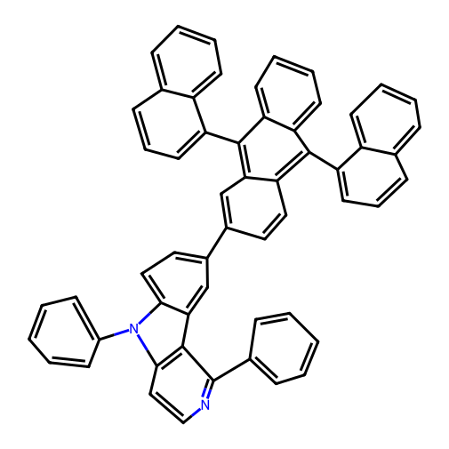 c1ccc(-c2nccc3c2c2cc(-c4ccc5c(-c6cccc7ccccc67)c6ccccc6c(-c6cccc7ccccc67)c5c4)ccc2n3-c2ccccc2)cc1